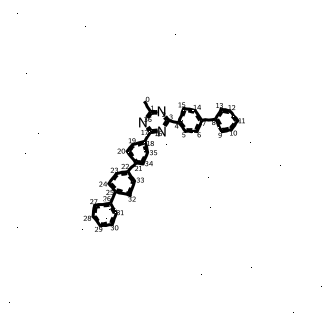 Cc1nc(-c2ccc(-c3ccccc3)cc2)nc(-c2ccc(-c3ccc(-c4ccccc4)cc3)cc2)n1